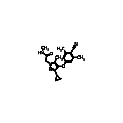 CNC(=O)Cn1nc(C2CC2)c(Oc2cc(C)c(C#N)c(C)c2)c1C